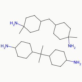 CC(C)(C1CCC(N)CC1)C1CCC(N)CC1.CC1(N)CCC(CC2CCC(C)(N)CC2)CC1